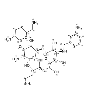 NCC[C@H](O)C(=O)N[C@@H]1C[C@H](N)C(O[C@H]2OC(CN)CCC2N)C(O)[C@H]1O[C@H]1OC(CO)[C@@H](O)[C@H](NCc2cccc(N)c2)C1O